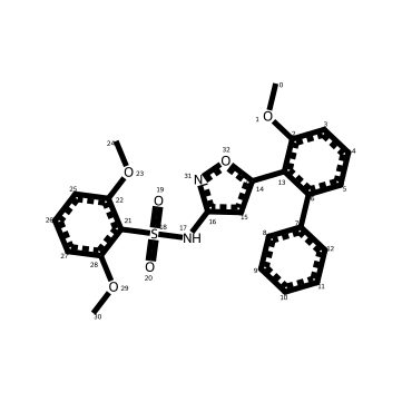 COc1cccc(-c2ccccc2)c1-c1cc(NS(=O)(=O)c2c(OC)cccc2OC)no1